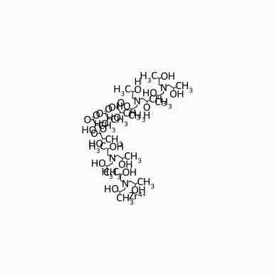 CC(O)C(=O)[O-].CC(O)C(=O)[O-].CC(O)C(=O)[O-].CC(O)C(=O)[O-].CC(O)CN(CC(C)O)CC(C)O.CC(O)CN(CC(C)O)CC(C)O.CC(O)CN(CC(C)O)CC(C)O.CC(O)CN(CC(C)O)CC(C)O.[Zr+4]